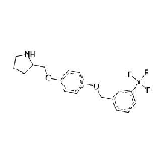 FC(F)(F)c1cccc(COc2ccc(OCC3CCCN3)cc2)c1